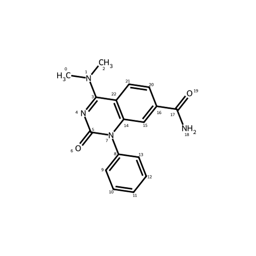 CN(C)c1nc(=O)n(-c2ccccc2)c2cc(C(N)=O)ccc12